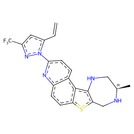 C=Cc1cc(C(F)(F)F)nn1-c1ccc2c(ccc3sc4c(c32)NC[C@@H](C)NC4)n1